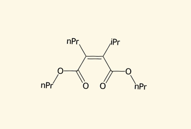 CCCOC(=O)/C(CCC)=C(\C(=O)OCCC)C(C)C